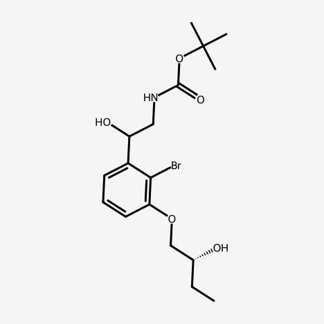 CC[C@@H](O)COc1cccc(C(O)CNC(=O)OC(C)(C)C)c1Br